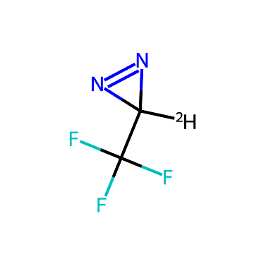 [2H]C1(C(F)(F)F)N=N1